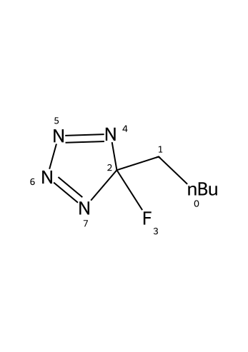 CCCCCC1(F)N=NN=N1